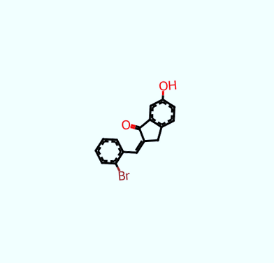 O=C1C(=Cc2ccccc2Br)Cc2ccc(O)cc21